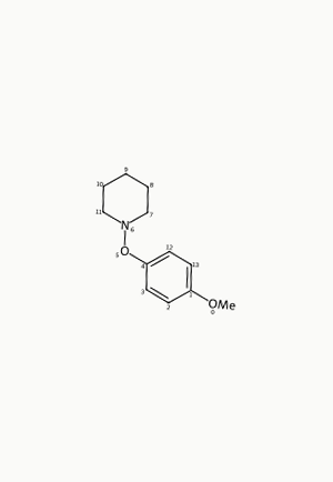 COc1ccc(ON2CCCCC2)cc1